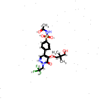 CC(=O)NS(=O)(=O)c1ccc(-c2cnn(CC(F)(F)F)c(=O)c2OCC(C)(C)CO)cc1